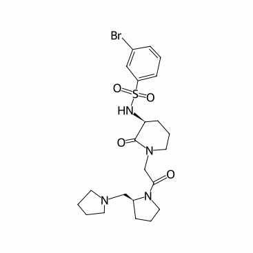 O=C1[C@@H](NS(=O)(=O)c2cccc(Br)c2)CCCN1CC(=O)N1CCC[C@H]1CN1CCCC1